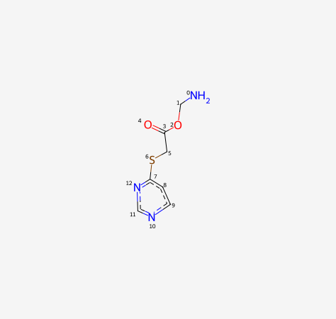 NCOC(=O)CSc1ccncn1